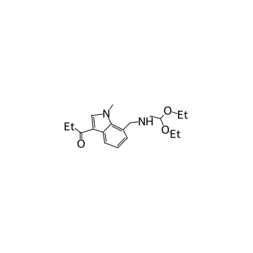 CCOC(CNCc1cccc2c(C(=O)CC)cn(C)c12)OCC